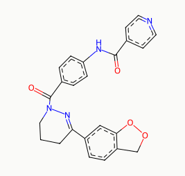 O=C(Nc1ccc(C(=O)N2CCCC(c3ccc4c(c3)OOC4)=N2)cc1)c1ccncc1